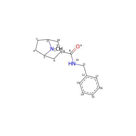 CN1C2CCC1CC(C(=O)NCc1ccccc1)C2